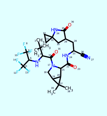 CC(C)(C)C(NC(C(F)(F)F)C(F)(F)F)C(=O)N1CC2C(C1C(=O)NC(C#N)CC1CC3(CC3)NC1=O)C2(C)C